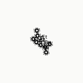 CC/C=C(\C=C(/CC)C1([C@@](C)(CC)[C@H](C)[C@H](C)CC)c2ccccc2-c2ccc(-c3nc(-c4ccccc4)nc(-c4ccccc4)n3)cc21)c1cc(-c2ccccc2)cc(-c2ccccc2)c1